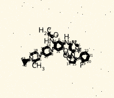 C=CC(=O)Nc1cc(Nc2cc(N3OCC[C@@H]3c3c(F)cccc3F)ncn2)c(OC)cc1N1CCC(N2CCN(C3CC3)[C@H](C)C2)CC1